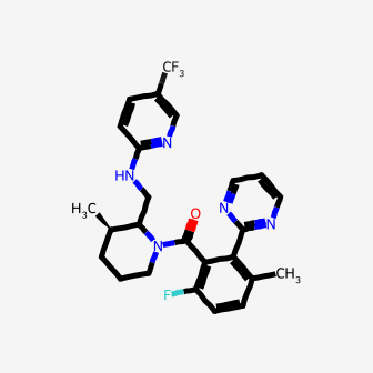 Cc1ccc(F)c(C(=O)N2CCC[C@@H](C)C2CNc2ccc(C(F)(F)F)cn2)c1-c1ncccn1